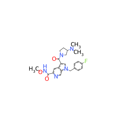 CONC(=O)c1cc2c(C(=O)N3CCC(N(C)C)C3)cn(Cc3ccc(F)cc3)c2cn1